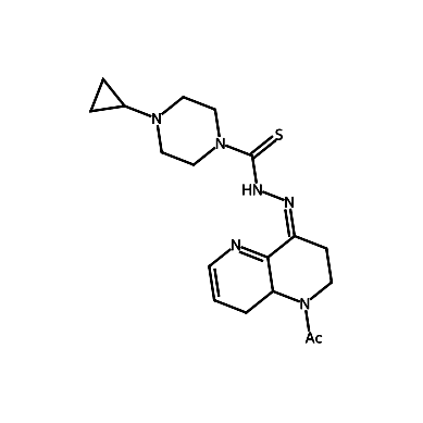 CC(=O)N1CC/C(=N/NC(=S)N2CCN(C3CC3)CC2)C2=NC=CCC21